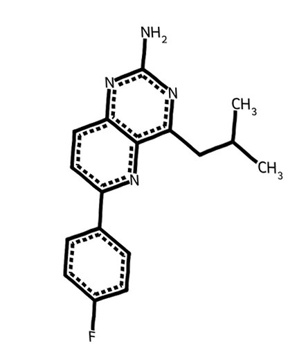 CC(C)Cc1nc(N)nc2ccc(-c3ccc(F)cc3)nc12